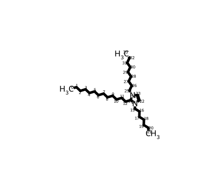 CCCCCCCCCCCCCC1N(CCCCCCC)C=CN1CCCCCCCCC